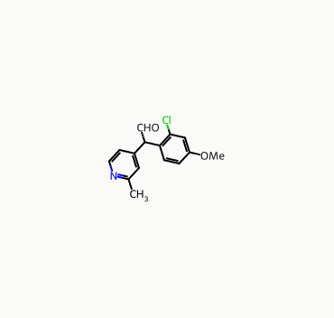 COc1ccc(C(C=O)c2ccnc(C)c2)c(Cl)c1